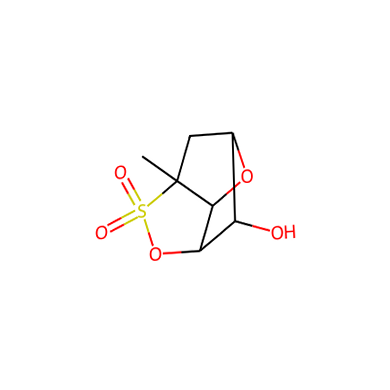 CC12CC3OC1C(OS2(=O)=O)C3O